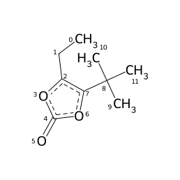 CCc1oc(=O)oc1C(C)(C)C